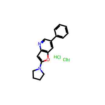 Cl.Cl.c1ccc(-c2cnc3cc(N4CCCC4)oc3c2)cc1